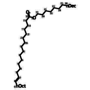 CCCCCCCCC=CCCCCCCCCCCCCCC(=O)OCCCCCCCCCCCCCCCCC